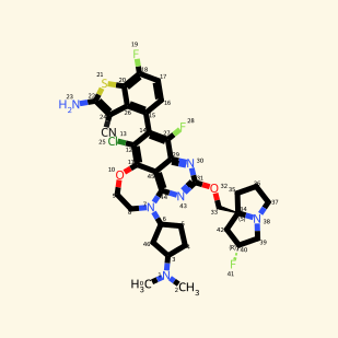 CN(C)C1CCC(N2CCOc3c(Cl)c(-c4ccc(F)c5sc(N)c(C#N)c45)c(F)c4nc(OC[C@@]56CCCN5C[C@H](F)C6)nc2c34)C1